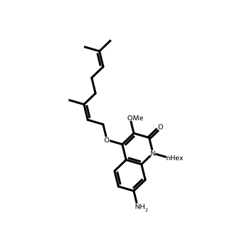 CCCCCCn1c(=O)c(OC)c(OCC=C(C)CCC=C(C)C)c2ccc(N)cc21